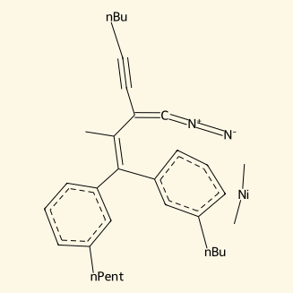 CCCCC#CC(=C=[N+]=[N-])C(C)=C(c1cccc(CCCC)c1)c1cccc(CCCCC)c1.[CH3][Ni][CH3]